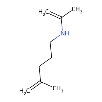 C=C(C)CCCNC(=C)C